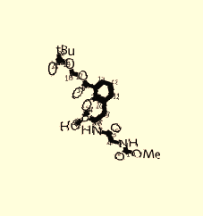 COC(=O)NCC(=O)N[C@H]1Cc2cccc(C(=O)OCOC(=O)C(C)(C)C)c2OB1O